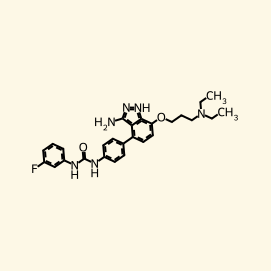 CCN(CC)CCCOc1ccc(-c2ccc(NC(=O)Nc3cccc(F)c3)cc2)c2c(N)n[nH]c12